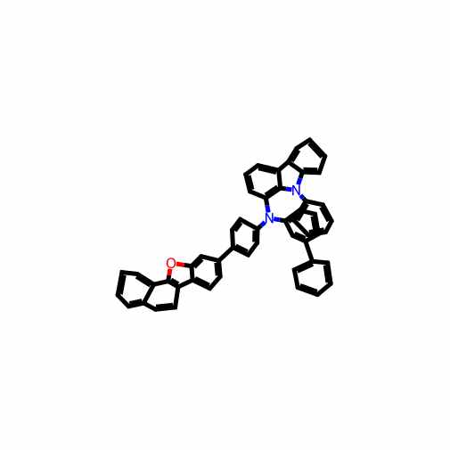 c1ccc(-c2cccc(N(c3ccc(-c4ccc5c(c4)oc4c6ccccc6ccc54)cc3)c3cccc4c5ccccc5n(-c5ccccc5)c34)c2)cc1